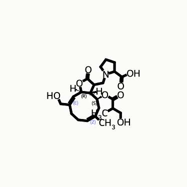 C/C1=C/CC/C(CO)=C\[C@H]2OC(=O)C(CN3CCCC3C(=O)O)[C@@H]2[C@@H](OC(=O)C(C)CO)C1